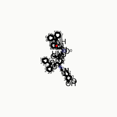 CO/N=C(\C(=O)NC1C(=O)N2C(C(=O)OC(c3ccccc3)c3ccccc3)=C(/C=C/Cn3cc4cc(O)c(=O)cc-4cn3)CS[C@@H]12)c1csc(NC(c2ccccc2)(c2ccccc2)c2ccccc2)n1